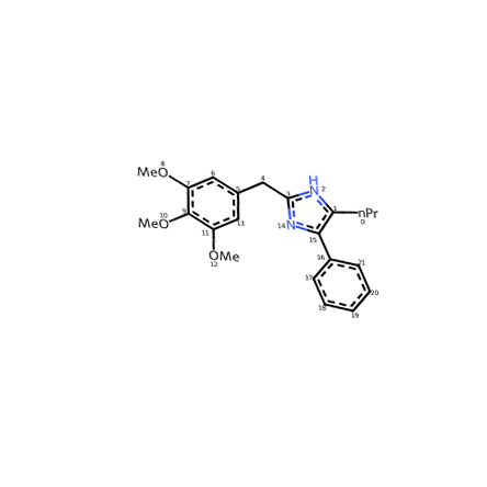 CCCc1[nH]c(Cc2cc(OC)c(OC)c(OC)c2)nc1-c1ccccc1